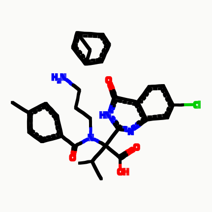 Cc1ccc(C(=O)N(CCCN)C(C(=O)O)(c2nc3cc(Cl)ccc3c(=O)[nH]2)C(C)C)cc1.c1cc2cc(c1)C2